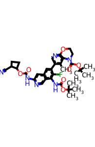 Cc1c(-c2cc3cc(NC(=O)OC4CCC4C#N)ncc3c(NC(=O)OC(C)(C)C)c2F)cnc2c1N(C(=O)OC(C)(C)C)CCO2